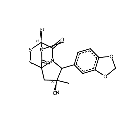 CC[C@@]12SSC3(C[C@](C)(C#N)C(c4ccc5c(c4)OCO5)N3C1=O)C(=O)N2C